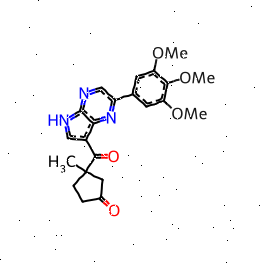 COc1cc(-c2cnc3[nH]cc(C(=O)C4(C)CCC(=O)C4)c3n2)cc(OC)c1OC